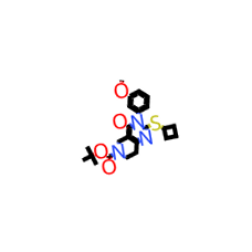 COc1cccc(-n2c(SC3CCC3)nc3c(c2=O)CN(C(=O)OC(C)(C)C)CC3)c1